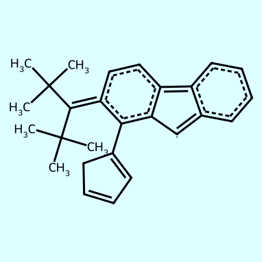 CC(C)(C)C(=c1ccc2c(c1C1=CC=CC1)[C]=c1ccccc1=2)C(C)(C)C